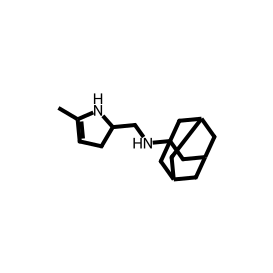 CC1=CCC(CNC23CC4CC(CC(C4)C2)C3)N1